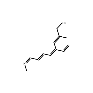 C=CC(=C/C=C/C=N\C)/C=C(\C)CC(C)CC